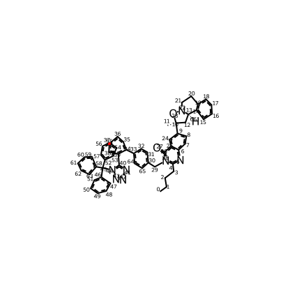 CCCCc1nc2ccc([C@]3(C)C[C@@H]4c5ccccc5CCN4O3)cc2c(=O)n1Cc1ccc(-c2ccccc2-c2nnnn2C(c2ccccc2)(c2ccccc2)c2ccccc2)cc1